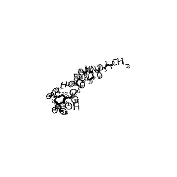 CCCCOC(=O)Nc1ccn([C@@H]2O[C@H](COC(=O)c3cc([N+](=O)[O-])cc([N+](=O)[O-])c3O)C(O)C2(F)F)c(=O)n1